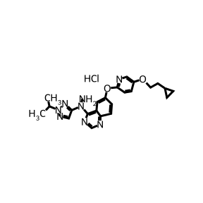 CC(C)n1ncc(N(N)c2ncnc3ccc(Oc4ccc(OCCC5CC5)cn4)cc23)n1.Cl